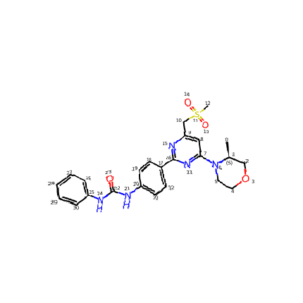 C[C@H]1COCCN1c1cc(CS(C)(=O)=O)nc(-c2ccc(NC(=O)Nc3ccccc3)cc2)n1